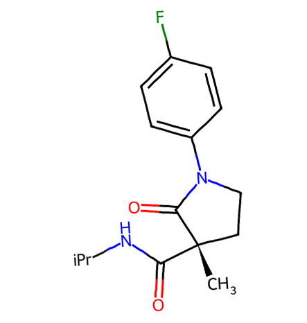 CC(C)NC(=O)[C@@]1(C)CCN(c2ccc(F)cc2)C1=O